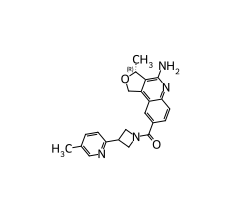 Cc1ccc(C2CN(C(=O)c3ccc4nc(N)c5c(c4c3)CO[C@@H]5C)C2)nc1